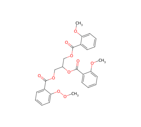 COOc1ccccc1C(=O)OCC(COC(=O)c1ccccc1OC)OC(=O)c1ccccc1OC